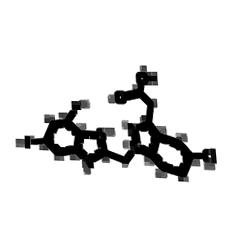 O=C(O)Cc1nn(Cc2nc3cc(F)cc(F)c3s2)c2ccc(Cl)cc12